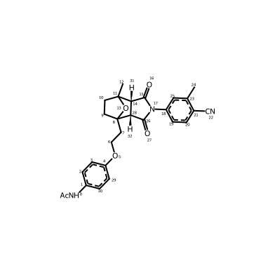 CC(=O)Nc1ccc(OCCC23CCC(C)(O2)[C@@H]2C(=O)N(c4ccc(C#N)c(C)c4)C(=O)[C@@H]23)cc1